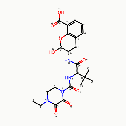 CCN1CCN(C(=O)NC(C(=O)N[C@H]2Cc3cccc(C(=O)O)c3OB2O)C(C)(C)C)C(=O)C1=O